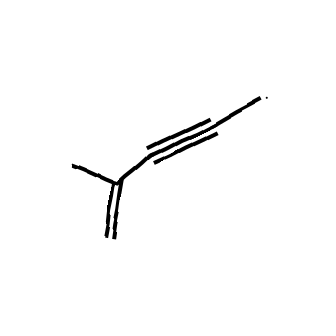 [CH2]C#CC(=C)C